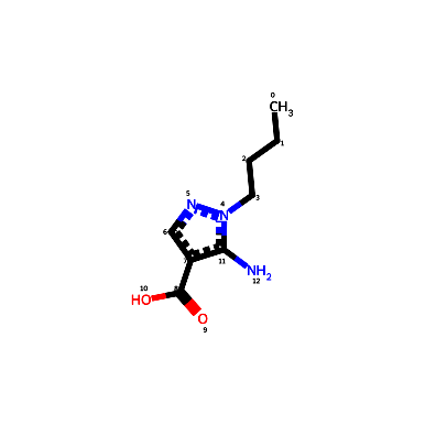 CCCCn1ncc(C(=O)O)c1N